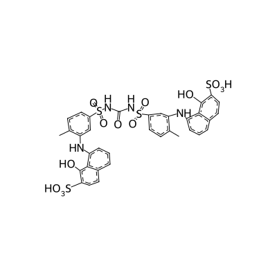 Cc1ccc(S(=O)(=O)NC(=O)NS(=O)(=O)c2ccc(C)c(Nc3cccc4ccc(S(=O)(=O)O)c(O)c34)c2)cc1Nc1cccc2ccc(S(=O)(=O)O)c(O)c12